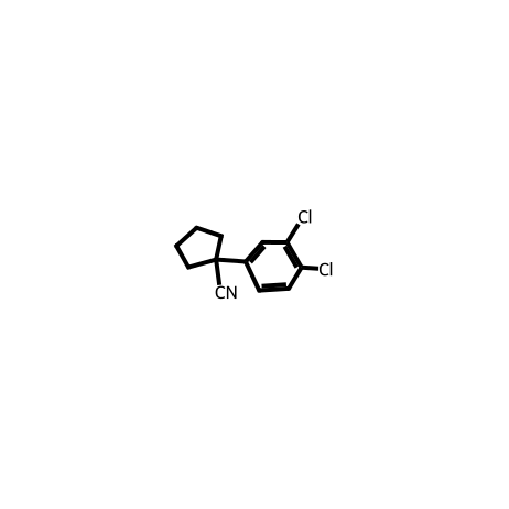 N#CC1(c2ccc(Cl)c(Cl)c2)CCCC1